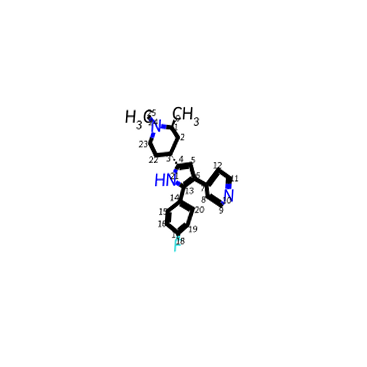 C[C@H]1C[C@H](c2cc(-c3ccncc3)c(-c3ccc(F)cc3)[nH]2)CCN1C